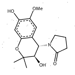 COc1cc2c(cc1O)OC(C)(C)[C@H](O)[C@H]2N1CCCC1=O